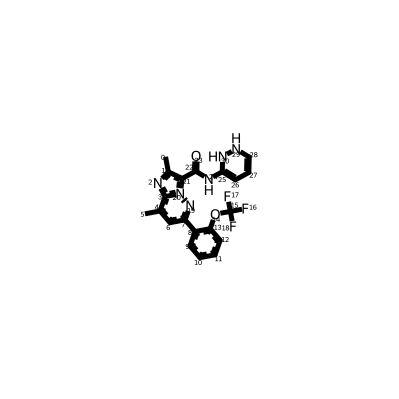 Cc1nc2c(C)cc(-c3ccccc3OC(F)(F)F)nn2c1C(=O)NC1=CC=CNN1